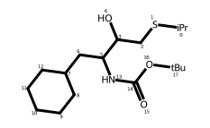 CC(C)SCC(O)C(CC1CCCCC1)NC(=O)OC(C)(C)C